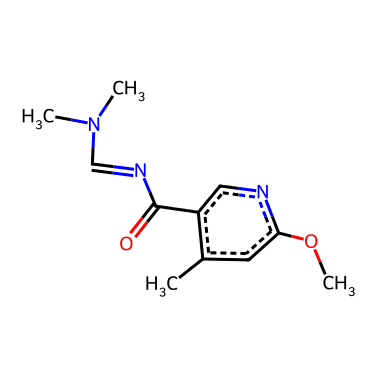 COc1cc(C)c(C(=O)N=CN(C)C)cn1